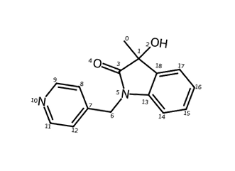 CC1(O)C(=O)N(Cc2ccncc2)c2ccccc21